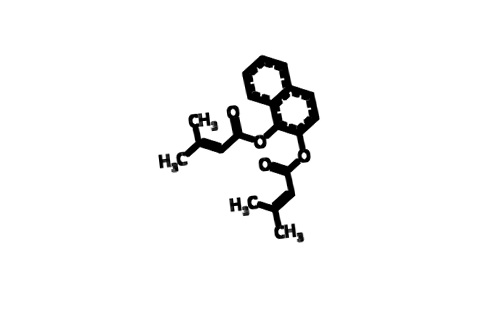 CC(C)=CC(=O)Oc1ccc2ccccc2c1OC(=O)C=C(C)C